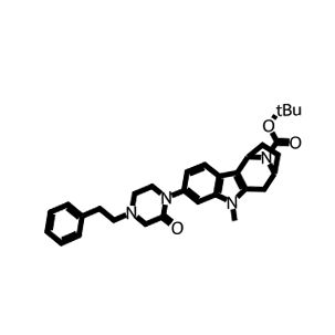 Cn1c2c(c3ccc(N4CCN(CCc5ccccc5)CC4=O)cc31)C1CCC(C2)N1C(=O)OC(C)(C)C